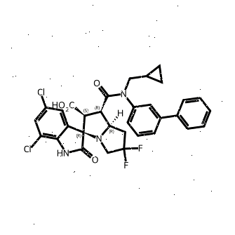 O=C(O)[C@H]1[C@@H](C(=O)N(CC2CC2)c2cccc(-c3ccccc3)c2)[C@H]2CC(F)(F)CN2[C@]12C(=O)Nc1c(Cl)cc(Cl)cc12